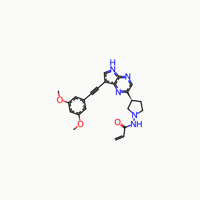 C=CC(=O)NN1CC[C@H](c2cnc3[nH]cc(C#Cc4cc(OC)cc(OC)c4)c3n2)C1